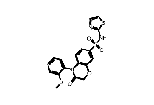 COc1ccccc1N1C(=O)COc2cc(S(=O)(=O)Nc3nccs3)ccc21